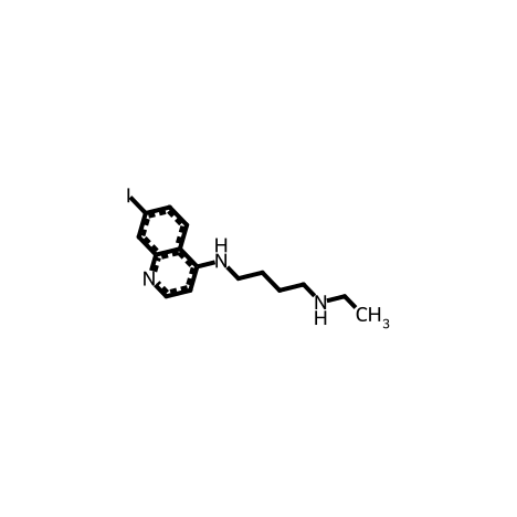 CCNCCCCNc1ccnc2cc(I)ccc12